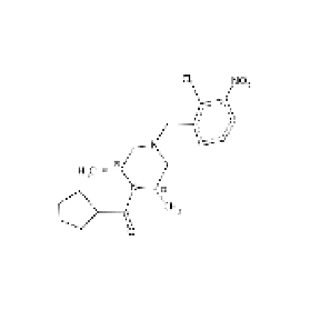 C[C@@H]1CN(Cc2cccc([N+](=O)[O-])c2Cl)C[C@H](C)N1C(=O)C1CCCC1